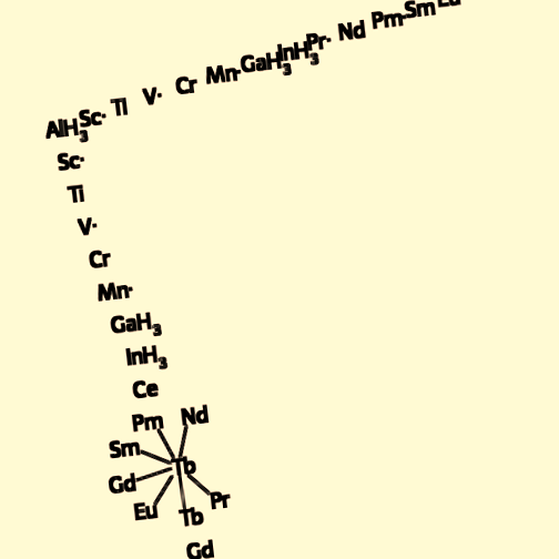 [AlH3].[Ce].[Cr].[Cr].[Eu].[GaH3].[GaH3].[Gd].[InH3].[InH3].[Mn].[Mn].[Nd].[Pm].[Pr].[Pr][Tb]([Nd])([Pm])([Sm])([Eu])([Gd])[Tb].[Sc].[Sc].[Sm].[Ti].[Ti].[V].[V]